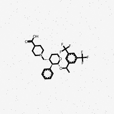 CC(O[C@H]1OCC[C@@H](CN2CCC(C(=O)O)CC2)[C@@H]1c1ccccc1)c1cc(C(F)(F)F)cc(C(F)(F)F)c1